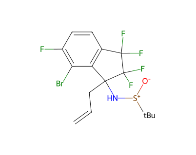 C=CCC1(N[S+]([O-])C(C)(C)C)c2c(ccc(F)c2Br)C(F)(F)C1(F)F